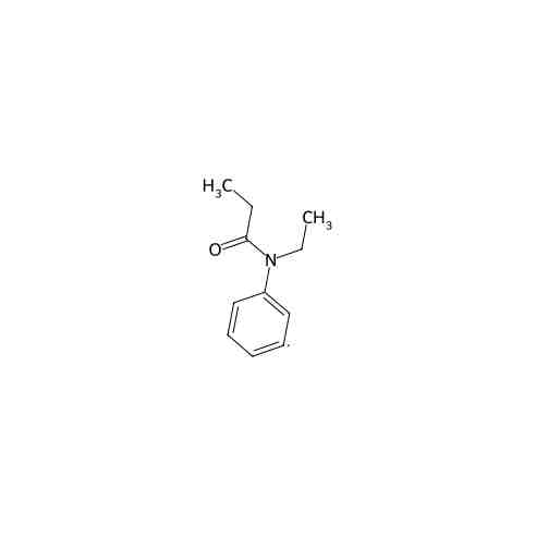 CCC(=O)N(CC)c1c[c]ccc1